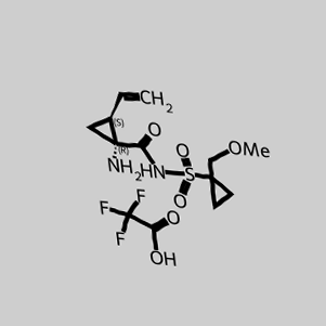 C=C[C@@H]1C[C@]1(N)C(=O)NS(=O)(=O)C1(COC)CC1.O=C(O)C(F)(F)F